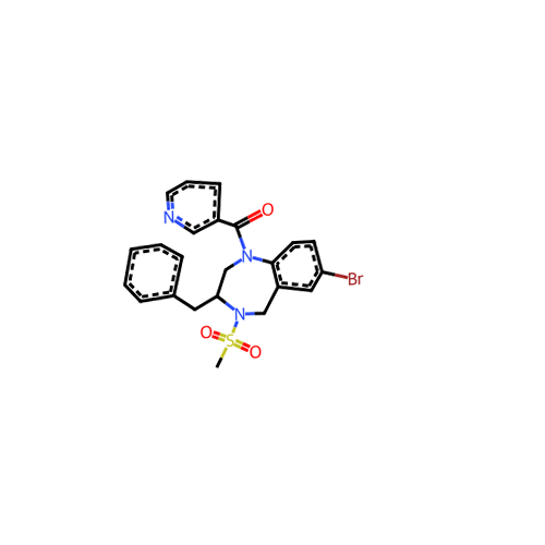 CS(=O)(=O)N1Cc2cc(Br)ccc2N(C(=O)c2cccnc2)CC1Cc1ccccc1